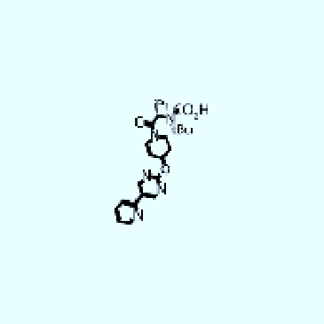 CC(C)[C@@H](C(=O)N1CCC(Oc2ncc(-c3ccccn3)cn2)CC1)N(C(=O)O)C(C)(C)C